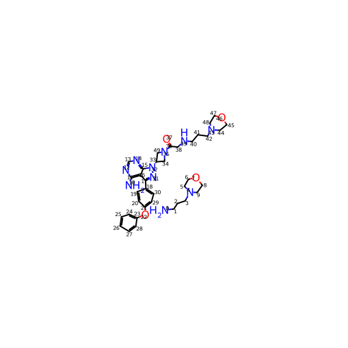 NCCCN1CCOCC1.Nc1ncnc2c1c(-c1ccc(Oc3ccccc3)cc1)nn2C1CN(C(=O)CNCCCN2CCOCC2)C1